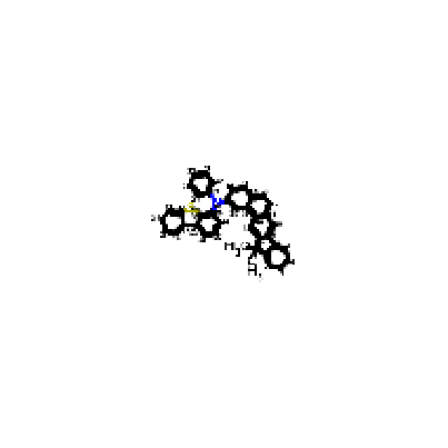 CC1(C)c2ccccc2-c2cc3ccc4ccc(N(c5ccccc5)c5cccc6c5sc5ccccc56)cc4c3cc21